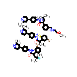 COCCNCc1cccc(C(CC(C)C)C(=O)Nc2ccc(-c3ccnc(C)c3)cc2)c1.Cc1cc(-c2ccc(NC(=O)C(C)C3=CC(Br)=CCC3=S)cc2)ccn1.Cc1cc(-c2ccc(NC(=O)C(CC(C)(C)F)c3cccc(Br)c3)cc2)ccn1